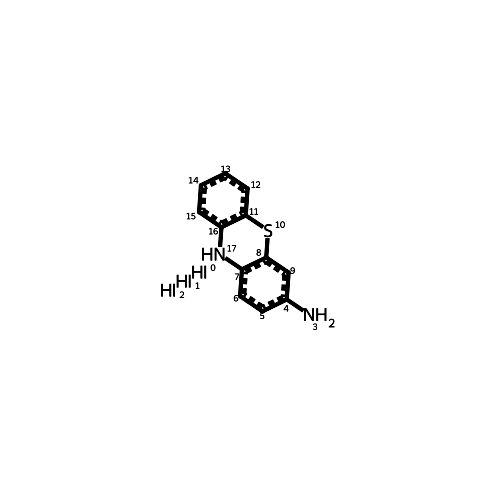 I.I.I.Nc1ccc2c(c1)Sc1ccccc1N2